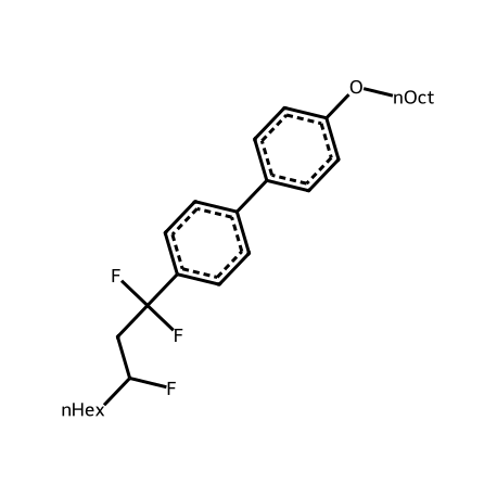 CCCCCCCCOc1ccc(-c2ccc(C(F)(F)CC(F)CCCCCC)cc2)cc1